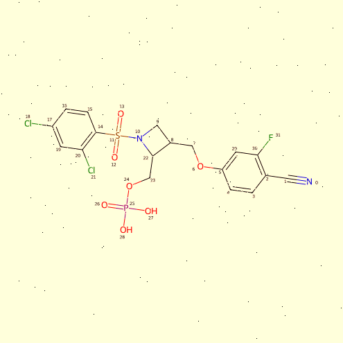 N#Cc1ccc(OCC2CN(S(=O)(=O)c3ccc(Cl)cc3Cl)C2COP(=O)(O)O)cc1F